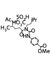 COC(=O)c1ccc(NC(=O)N(C(=O)CCC(C)C(CS(=O)(=O)O)C(C)=O)[C@@H](CC(C)C)C(=O)O)cc1